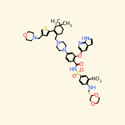 CC1(C)CCC(CN2CCN(c3ccc(C(=O)NS(=O)(=O)c4ccc(NC[C@H]5COCCO5)c([N+](=O)[O-])c4)c(Oc4cnc5[nH]ccc5c4)c3)CC2)=C(c2cc(CN3CCOCC3)cs2)C1